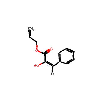 C=CCOC(=O)/C(O)=C(/CC)c1ccccc1